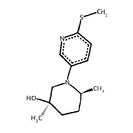 CSc1ccc(N2C[C@](C)(O)CC[C@@H]2C)cn1